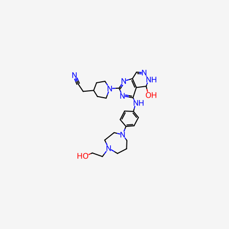 N#CCC1CCN(c2nc3c(c(Nc4ccc(N5CCCN(CCO)CC5)cc4)n2)C(O)NN=C3)CC1